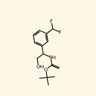 C=C(NC(CO)c1cccc(C(F)F)c1)OC(C)(C)C